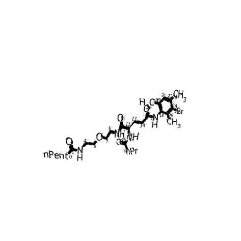 CCCCCC(=O)NCCOCCNC(=O)[C@@H](CCC(=O)Nc1c(C)cc(C)c(Br)c1C)NC(=O)CCC